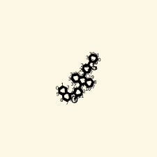 c1ccc2c(c1)ccc1oc3ccc(-c4c5ccccc5c(-c5ccc6c(c5)sc5ccccc56)c5ccccc45)cc3c12